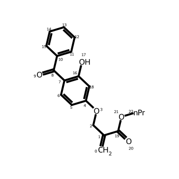 C=C(COc1ccc(C(=O)c2ccccc2)c(O)c1)C(=O)OCCC